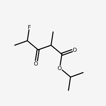 CC(C)OC(=O)C(C)C(=O)C(C)F